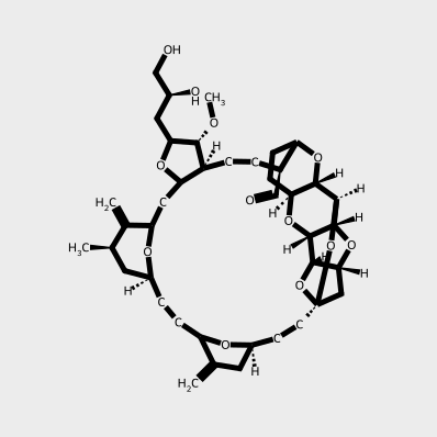 C=C1C[C@@H]2CC[C@@]34C[C@H]5O[C@H]6[C@@H](O3)[C@H]3OC(CC[C@@H]3O[C@H]6[C@H]5O4)[C@@H](C=O)CC[C@H]3C(CC4O[C@@H](CCC1O2)C[C@@H](C)C4=C)OC(C[C@H](O)CO)[C@@H]3OC